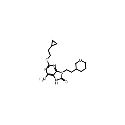 Nc1nc(OCCC2CC2)nc2c1[nH]c(=O)n2CCC1CCCOC1